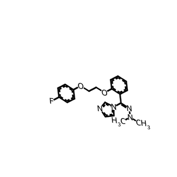 CN(C)N=C(c1ccccc1OCCOc1ccc(F)cc1)n1ccnc1